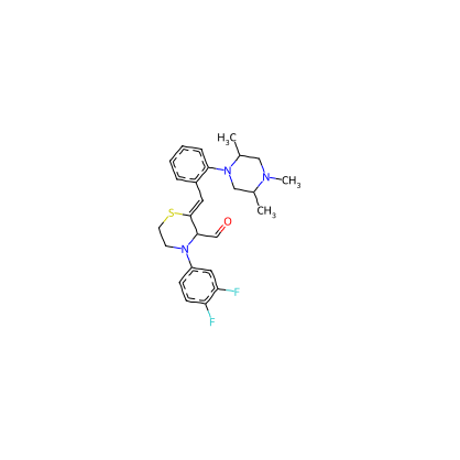 CC1CN(c2ccccc2C=C2SCCN(c3ccc(F)c(F)c3)C2C=O)C(C)CN1C